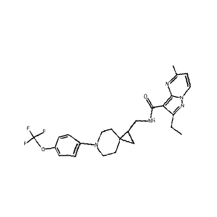 CCc1nn2ccc(C)nc2c1C(=O)NCC1CC12CCN(c1ccc(OC(F)(F)F)cc1)CC2